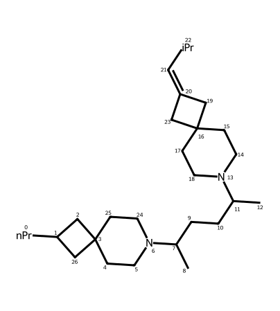 CCCC1CC2(CCN(C(C)CCC(C)N3CCC4(CC3)CC(=CC(C)C)C4)CC2)C1